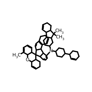 CC1=CC=CC2C1OC1C=CCCC1C21C2C=CC=C(N(C3CCC(C4C=CCCC4)CC3)C3CCC4C5C=CCCC5C(C)(C)C4C3)C2C2C3=C(C=CC21)CCC=C3